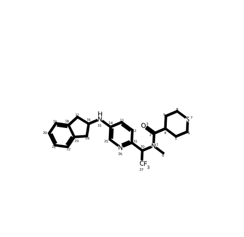 CN(C(=O)C1CCSCC1)C(c1ccc(NC2Cc3ccccc3C2)cn1)C(F)(F)F